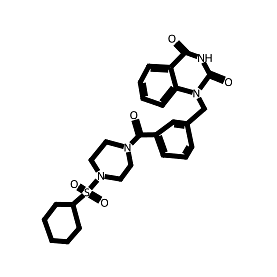 O=C(c1cccc(Cn2c(=O)[nH]c(=O)c3ccccc32)c1)N1CCN(S(=O)(=O)C2CCCCC2)CC1